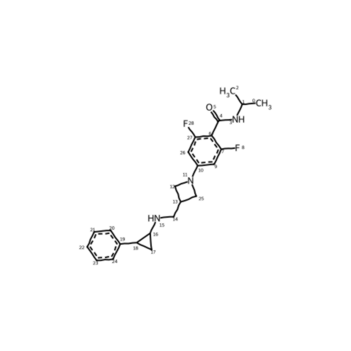 CC(C)NC(=O)c1c(F)cc(N2CC(CNC3CC3c3ccccc3)C2)cc1F